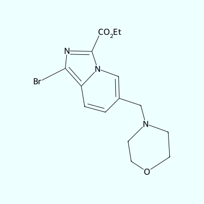 CCOC(=O)c1nc(Br)c2ccc(CN3CCOCC3)cn12